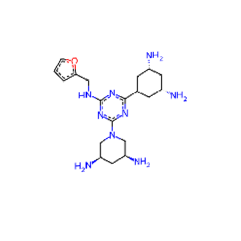 N[C@@H]1CC(c2nc(NCc3ccco3)nc(N3C[C@H](N)C[C@H](N)C3)n2)C[C@H](N)C1